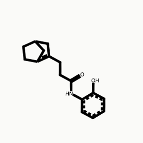 O=C(CCC1=C2CCC(C1)C2)Nc1ccccc1O